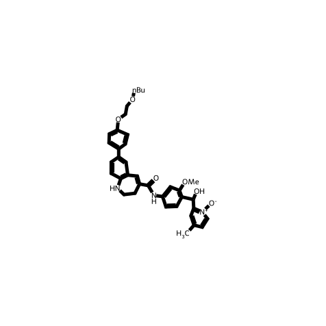 CCCCOCCOc1ccc(-c2ccc3c(c2)C=C(C(=O)Nc2ccc(C(O)c4cc(C)cc[n+]4[O-])c(OC)c2)CCN3)cc1